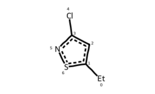 [CH2]Cc1cc(Cl)ns1